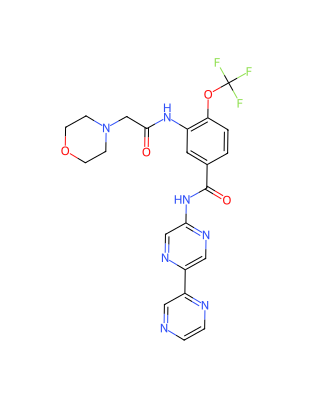 O=C(CN1CCOCC1)Nc1cc(C(=O)Nc2cnc(-c3cnccn3)cn2)ccc1OC(F)(F)F